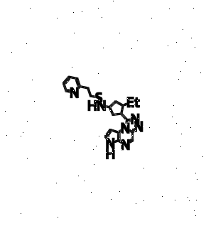 CCC1CC(NSCCc2ccccn2)CC1c1nnc2cnc3[nH]ccc3n12